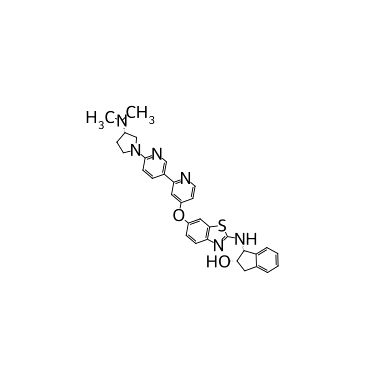 CN(C)[C@H]1CCN(c2ccc(-c3cc(Oc4ccc5nc(N[C@@H]6c7ccccc7C[C@@H]6O)sc5c4)ccn3)cn2)C1